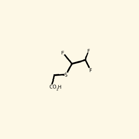 O=C(O)CSC(F)C(F)F